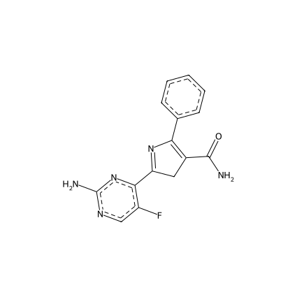 NC(=O)C1=C(c2ccccc2)N=C(c2nc(N)ncc2F)C1